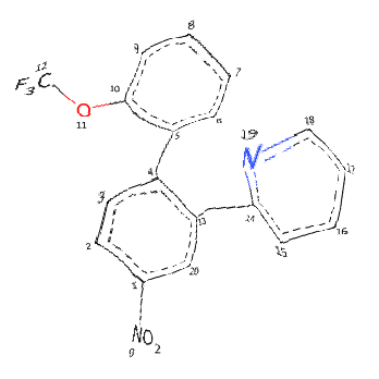 O=[N+]([O-])c1ccc(-c2ccccc2OC(F)(F)F)c(-c2ccccn2)c1